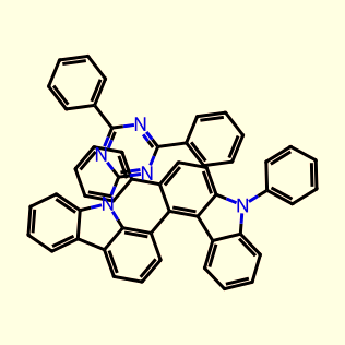 c1ccc(-c2nc(-c3ccccc3)nc(-n3c4ccccc4c4cccc(-c5c(-c6ccccc6)ccc6c5c5ccccc5n6-c5ccccc5)c43)n2)cc1